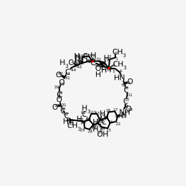 CCC[C@]1(C)C2CNC(=O)CCCC(=O)N[C@H]3CC[C@@]4(C)C(C3)C[C@H](O)C3[C@@H]5CC[C@H]([C@H](C)CCC(=O)OCCOC(=O)CC[C@H](C)[C@@H]6CC[C@@H]7C([C@H](O)C2)[C@H]1CC[C@]76C)[C@@]5(C)CC[C@@H]34